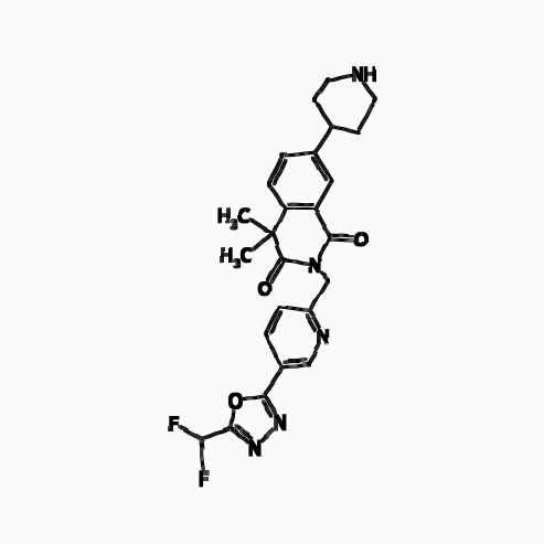 CC1(C)C(=O)N(Cc2ccc(-c3nnc(C(F)F)o3)cn2)C(=O)c2cc(C3CCNCC3)ccc21